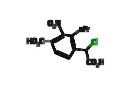 CCCc1c(C(Cl)C(=O)O)ccc(C(=O)O)c1[N+](=O)[O-]